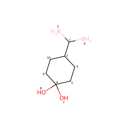 BC(B)C1CCC(O)(O)CC1